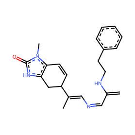 C=C(/C=N\C=C(/C)C1C=Cc2c([nH]c(=O)n2C)C1)NCCc1ccccc1